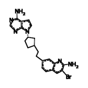 Nc1nc2cc(CCC3CC[C@H](n4ccc5c(N)ncnc54)C3)ccc2cc1Br